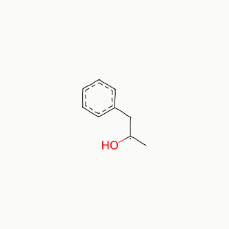 C[C](O)Cc1ccccc1